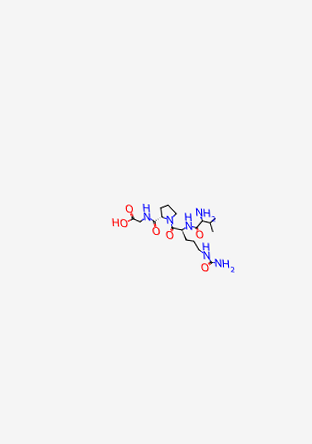 CC(C)[C@H](N)C(=O)N[C@@H](CCCNC(N)=O)C(=O)N1CCC[C@H]1C(=O)NCC(=O)O